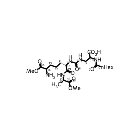 CCCCCCC(=O)NC(CNC(=O)N[C@@H](CCCC(N)C(=O)OC)C(=O)N[C@H](C)C(=O)OC)C(=O)O